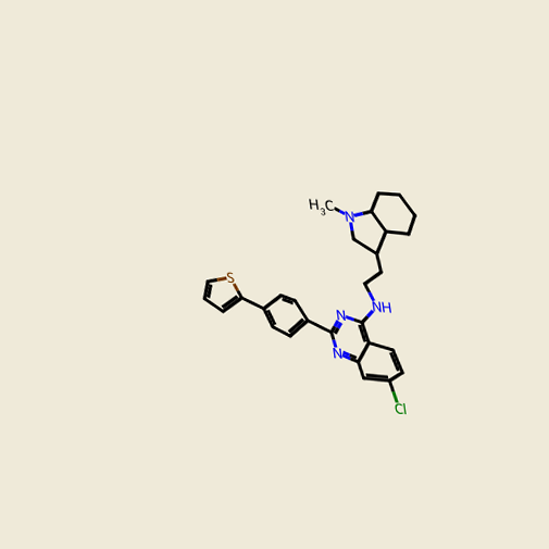 CN1CC(CCNc2nc(-c3ccc(-c4cccs4)cc3)nc3cc(Cl)ccc23)C2CCCCC21